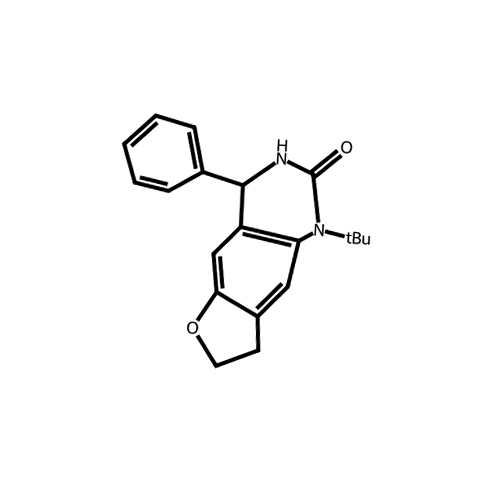 CC(C)(C)N1C(=O)NC(c2ccccc2)c2cc3c(cc21)CCO3